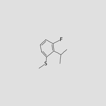 CSc1cccc(F)c1C(C)C